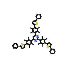 Cc1c(C)c(-c2ccc(-c3ccccc3)s2)c(C)c(C)c1-c1cc(-c2c(C)c(C)c(-c3ccc(-c4ccccc4)s3)c(C)c2C)nc(-c2c(C)c(C)c(-c3ccc(-c4ccccc4)s3)c(C)c2C)n1